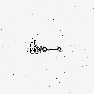 CC(C)(C(F)F)[C@H](NC(=O)c1ccc(C#CC#Cc2ccsc2)cc1)C(=O)NO